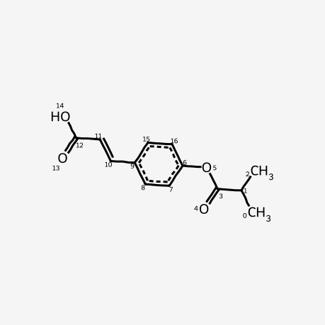 CC(C)C(=O)Oc1ccc(/C=C/C(=O)O)cc1